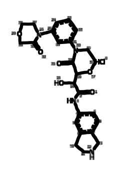 Cl.O=C(Nc1ccc2c(c1)CCNC2)C(O)C1OCCN(c2cccc(N3CCOCC3=O)c2)C1=O